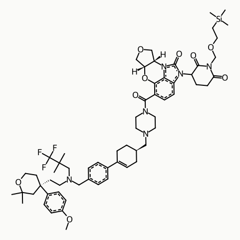 COc1ccc([C@]2(CCN(Cc3ccc(C4=CC[C@H](CN5CCN(C(=O)c6ccc7c8c6O[C@@H]6COC[C@@H]6n8c(=O)n7C6CCC(=O)N(COCC[Si](C)(C)C)C6=O)CC5)CC4)cc3)CC(C)(C)C(F)(F)F)CCOC(C)(C)C2)cc1